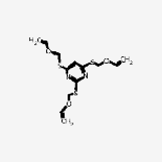 C=COCSc1cc(SCOC=C)nc(SCOC=C)n1